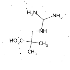 CC(C)(CNC(N)N)C(=O)O